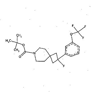 CC(C)(C)OC(=O)N1CCC2(CC1)CC(F)(c1cccc(OC(F)(F)F)c1)C2